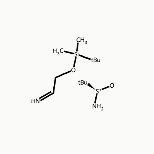 CC(C)(C)[S@+](N)[O-].CC(C)(C)[Si](C)(C)OCC=N